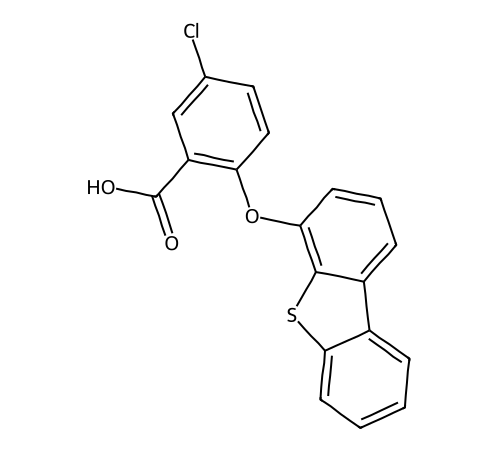 O=C(O)c1cc(Cl)ccc1Oc1cccc2c1sc1ccccc12